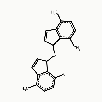 Cc1ccc(C)c2c1C=CC2SC1C=Cc2c(C)ccc(C)c21